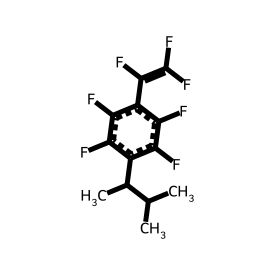 CC(C)C(C)c1c(F)c(F)c(C(F)=C(F)F)c(F)c1F